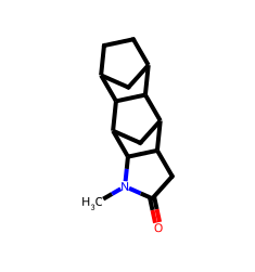 CN1C(=O)CC2C3CC(C4C5CCC(C5)C34)C21